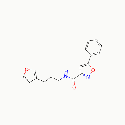 O=C(NCCCc1ccoc1)c1cc(-c2ccccc2)on1